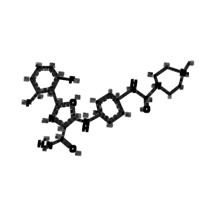 CN1CCN(C(=O)Nc2ccc(Nc3oc(-c4c(F)cccc4F)nc3C(N)=O)cc2)CC1